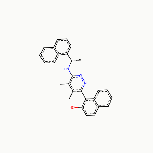 Cc1c(N[C@@H](C)c2cccc3ccccc23)nnc(-c2c(O)ccc3ccccc23)c1C